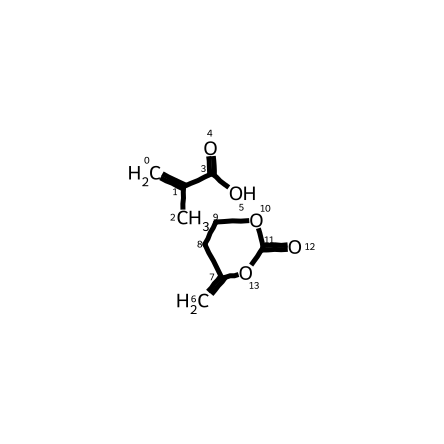 C=C(C)C(=O)O.C=C1CCOC(=O)O1